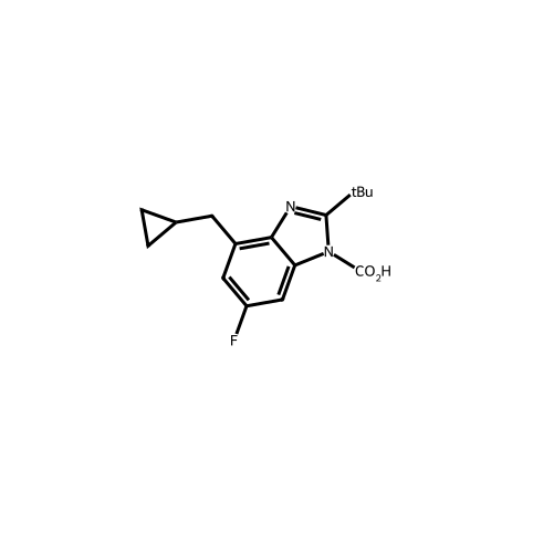 CC(C)(C)c1nc2c(CC3CC3)cc(F)cc2n1C(=O)O